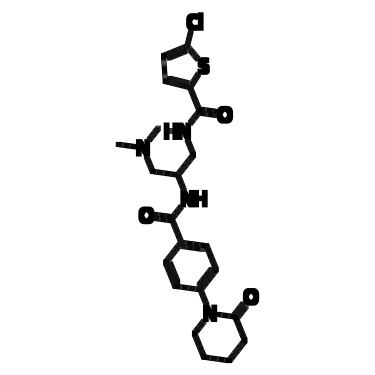 CN(C)CC(CNC(=O)c1ccc(Cl)s1)NC(=O)c1ccc(N2CCCCC2=O)cc1